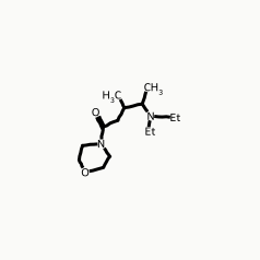 CCN(CC)C(C)C(C)CC(=O)N1CCOCC1